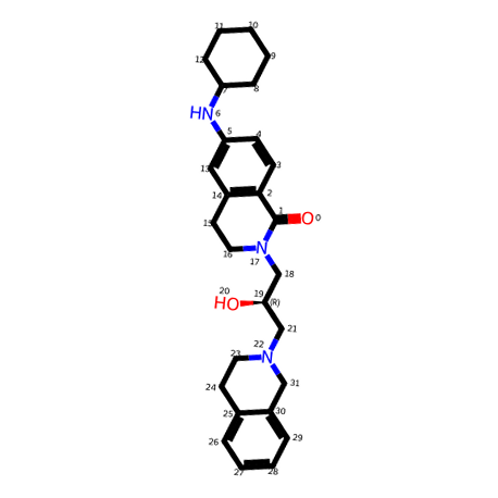 O=C1c2ccc(NC3CCCCC3)cc2CCN1C[C@H](O)CN1CCc2ccccc2C1